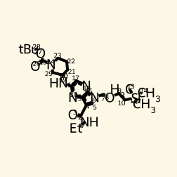 CCNC(=O)c1cn(COCC[Si](C)(C)C)c2ncc(N[C@@H]3CCCN(C(=O)OC(C)(C)C)C3)nc12